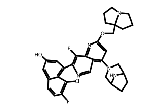 Oc1cc(-c2ncc3c(N4CC5CCC(C4)N5)cc(OCC45CCCN4CCC5)nc3c2F)c2c(Cl)c(F)ccc2c1